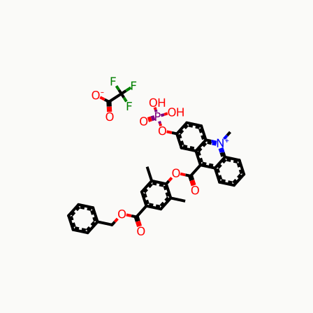 Cc1cc(C(=O)OCc2ccccc2)cc(C)c1OC(=O)c1c2ccccc2[n+](C)c2ccc(OP(=O)(O)O)cc12.O=C([O-])C(F)(F)F